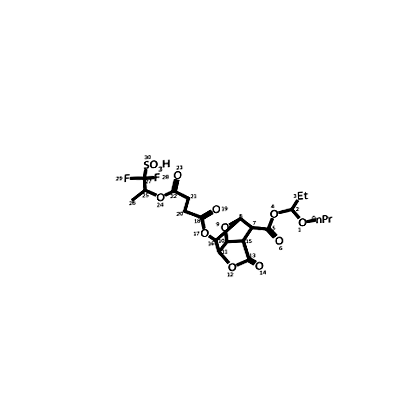 CCCOC(CC)OC(=O)C1C2OC3C(OC(=O)C31)C2OC(=O)CCC(=O)OC(C)C(F)(F)S(=O)(=O)O